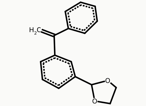 C=C(c1ccccc1)c1cccc(C2OCCO2)c1